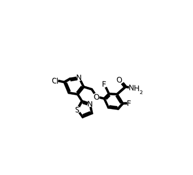 NC(=O)c1c(F)ccc(OCc2ncc(Cl)cc2-c2nccs2)c1F